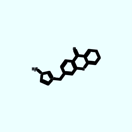 Cn1cc[n+](Cc2ccc3c(=O)c4c(sc3c2)=CCCC=4)c1